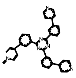 C=N/C=C\C(=C/C)c1cccc(-c2nc(-c3cccc(-c4ccncc4)c3)nc(-c3cccc(-c4ccncc4)c3)n2)c1